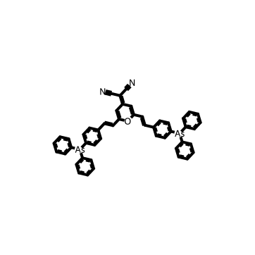 N#CC(C#N)=C1C=C(C=Cc2ccc([As](c3ccccc3)c3ccccc3)cc2)OC(C=Cc2ccc([As](c3ccccc3)c3ccccc3)cc2)=C1